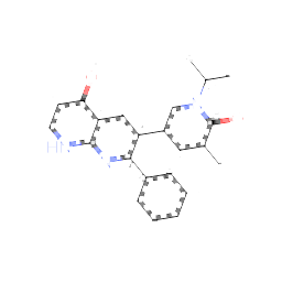 Cc1cc(-c2cc3c(=O)cc[nH]c3nc2-c2ccccc2)cn(C(C)C)c1=O